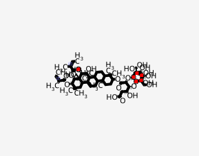 C/C=C(/C)C(=O)O[C@H]1[C@H](OC(=O)/C(C)=C\C)[C@@]2(CO)C(CC1(C)C)C1=CCC3[C@@]4(C)CCC(O[C@@H]5OC(C(=O)O)[C@@H](O)[C@@H](O[C@@H]6O[C@@H](CO)C(O)[C@@H]6O)C5O[C@@H]5OC(CO)[C@H](O)[C@@H](O)C5O)C(C)(C)C4CC[C@@]3(C)[C@]1(C)[C@@H](O)[C@H]2O